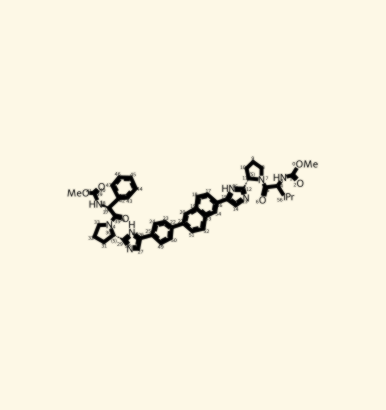 COC(=O)NC(C(=O)N1CCC[C@H]1c1ncc(-c2ccc3cc(-c4ccc(-c5cnc([C@@H]6CCCN6C(=O)[C@@H](NC(=O)OC)c6ccccc6)[nH]5)cc4)ccc3c2)[nH]1)C(C)C